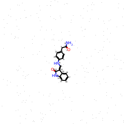 NC(=O)Cc1ccc(NC=C2C(=O)Nc3ccccc32)cc1